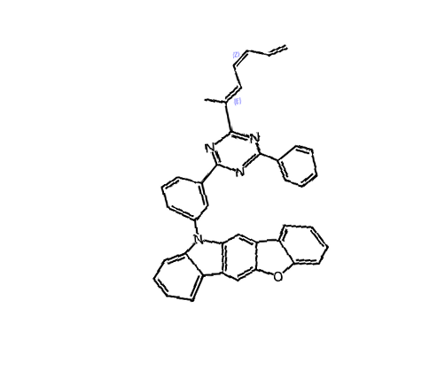 C=C/C=C\C=C(/C)c1nc(-c2ccccc2)nc(-c2cccc(-n3c4ccccc4c4cc5oc6ccccc6c5cc43)c2)n1